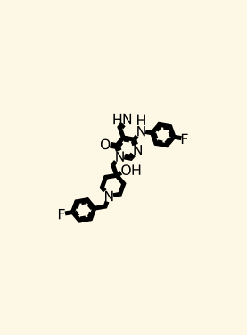 N=Cc1c(Nc2ccc(F)cc2)ncn(CC2(O)CCN(Cc3ccc(F)cc3)CC2)c1=O